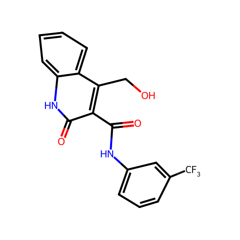 O=C(Nc1cccc(C(F)(F)F)c1)c1c(CO)c2ccccc2[nH]c1=O